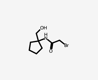 O=C(CBr)NC1(CO)CCCC1